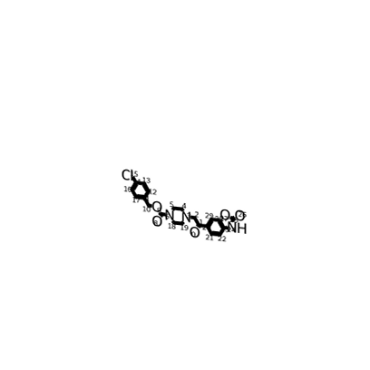 O=C(CN1CCN(C(=O)OCc2ccc(Cl)cc2)CC1)c1ccc2[nH]c(=O)oc2c1